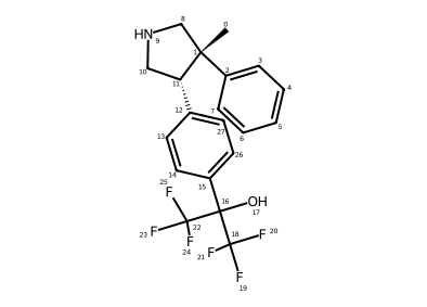 C[C@]1(c2ccccc2)CNC[C@H]1c1ccc(C(O)(C(F)(F)F)C(F)(F)F)cc1